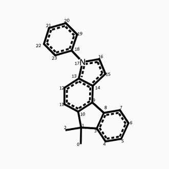 CC1(C)c2ccccc2-c2c1ccc1c2ccn1-c1ccccc1